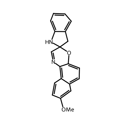 COc1ccc2c3c(ccc2c1)OC1(C=N3)Cc2ccccc2N1